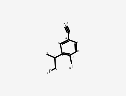 C[C](CF)c1cc(C#N)ccc1I